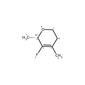 CC1=C(F)[C@H](C)OCC1